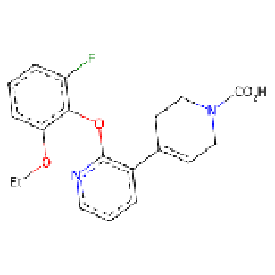 CCOc1cccc(F)c1Oc1ncccc1C1=CCN(C(=O)O)CC1